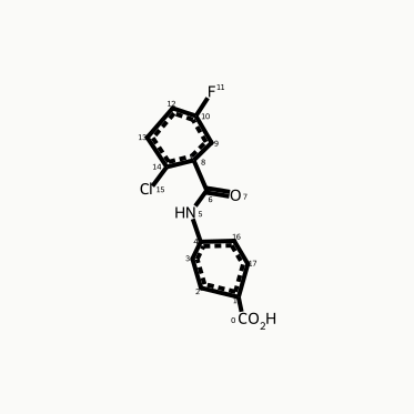 O=C(O)c1ccc(NC(=O)c2cc(F)ccc2Cl)cc1